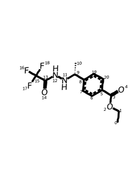 CCOC(=O)c1ccc([C@@H](C)NNC(=O)C(F)(F)F)cc1